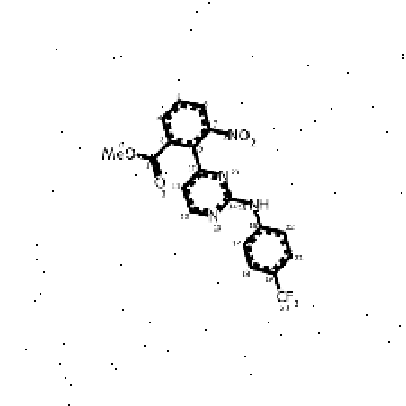 COC(=O)c1cccc([N+](=O)[O-])c1-c1ccnc(Nc2ccc(C(F)(F)F)cc2)n1